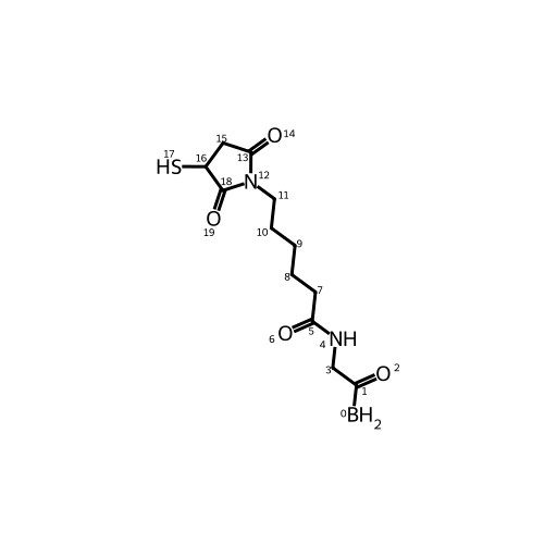 BC(=O)CNC(=O)CCCCCN1C(=O)CC(S)C1=O